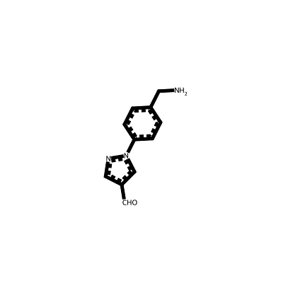 NCc1ccc(-n2cc(C=O)cn2)cc1